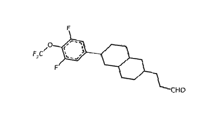 O=CCCC1CCC2CC(c3cc(F)c(OC(F)(F)F)c(F)c3)CCC2C1